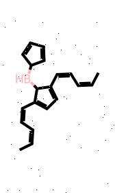 C/C=C\C=C/C1=CC=C(/C=C\C=C/C)C1BC1C=CC=C1